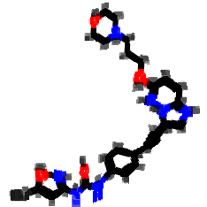 CC(C)(C)c1cc(NC(=O)Nc2ccc(C#Cc3cnc4ccc(OCCCN5CCOCC5)nn34)cc2)no1